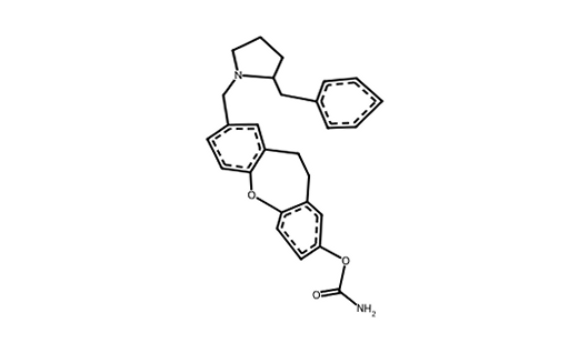 NC(=O)Oc1ccc2c(c1)CCc1cc(CN3CCCC3Cc3ccccc3)ccc1O2